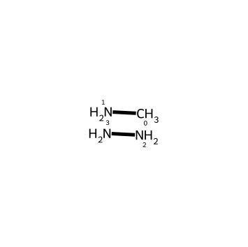 CN.NN